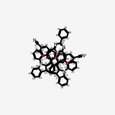 N#Cc1ccc(-n2c3ccccc3c3ccc4c5ccccc5n(-c5ccccc5)c4c32)c(-c2nc(-c3ccccc3)nc(-c3cc(C#N)ccc3-n3c4ccccc4c4ccc5c6ccccc6n(-c6ccccc6)c5c43)n2)c1